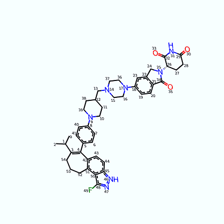 CC(C)C1=C(c2ccc(N3CCC(CN4CCN(c5ccc6c(c5)CN([C@H]5CCC(=O)NC5=O)C6=O)CC4)CC3)cc2)c2ccc3[nH]nc(F)c3c2CCC1